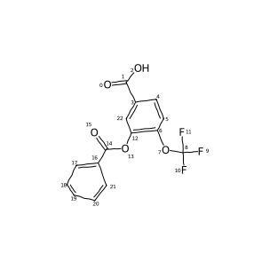 O=C(O)c1ccc(OC(F)(F)F)c(OC(=O)c2ccccc2)c1